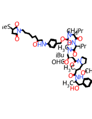 CC[C@H](C)[C@@H]([C@@H](CC(=O)N1CCC[C@H]1[C@H](OC=O)[C@@H](C)C(=O)N[C@H](C)[C@@H](O)c1ccccc1)OC=O)N(C)C(=O)[C@@H](NC(=O)[C@H](C(C)C)N(C)C(=O)OCc1ccc(NCC(=O)CCCCCN2C(=O)CC(SC)C2=O)cc1)C(C)C